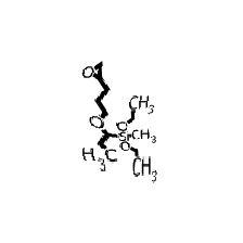 CCO[Si](C)(OCC)C(CC)OCCCC1CO1